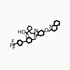 O=C(O)C1(Cc2nc3cc(OCc4ccc5ccccc5n4)ccc3n2Cc2ccc(-c3ccc(C(F)(F)F)cc3)cc2)CCCC1